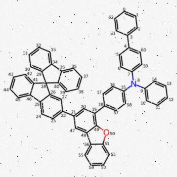 c1ccc(-c2ccc(N(c3ccccc3)c3ccc(-c4cc(-c5ccc6c(c5)C5(c7ccccc7-c7ccccc75)c5ccccc5-6)cc5c4oc4ccccc45)cc3)cc2)cc1